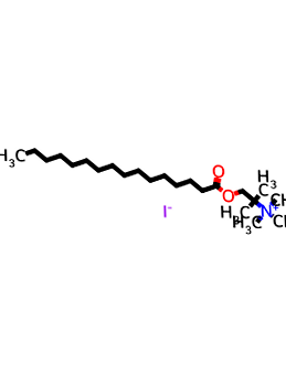 CCCCCCCCCCCCCCCC(=O)OCC(C)(C)[N+](C)(C)C.[I-]